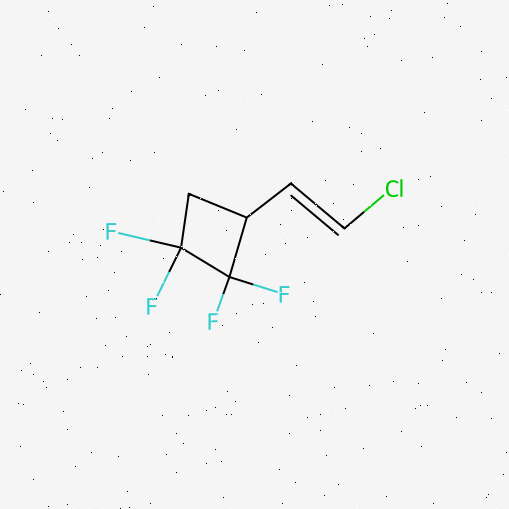 FC1(F)CC(/C=C/Cl)C1(F)F